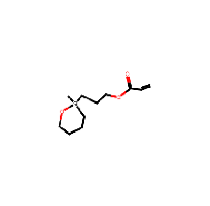 C=CC(=O)OCCC[Si]1(C)CCCCO1